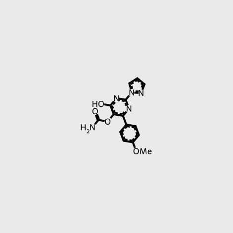 COc1ccc(-c2nc(-n3cccn3)nc(O)c2OC(N)=O)cc1